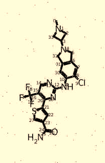 CN1CC(N2Cc3cc(Cl)c(Nc4ncc(C(F)(F)F)c(-c5cc(C(N)=O)cs5)n4)cc3C2)C1